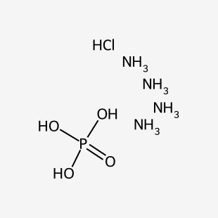 Cl.N.N.N.N.O=P(O)(O)O